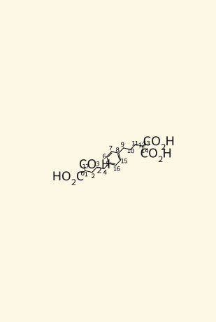 O=C(O)C(CCCc1ccc(CCCC(C(=O)O)C(=O)O)cc1)C(=O)O